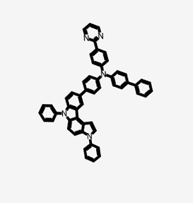 c1ccc(-c2ccc(N(c3ccc(-c4ccc5c(c4)c4c6ccn(-c7ccccc7)c6ccc4n5-c4ccccc4)cc3)c3ccc(-c4ncccn4)cc3)cc2)cc1